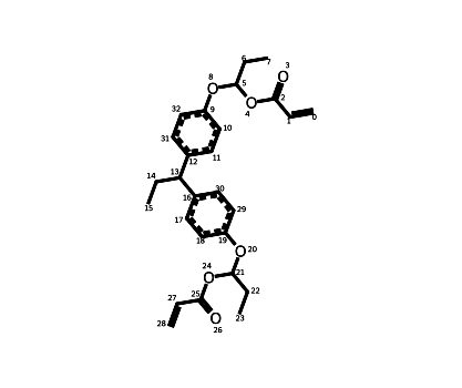 C=CC(=O)OC(CC)Oc1ccc(C(CC)c2ccc(OC(CC)OC(=O)C=C)cc2)cc1